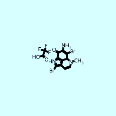 CN1C=Cc2c(Br)[nH]c3c2C1C(Br)=C(N)C3=O.O=C(O)C(F)(F)F